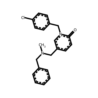 CN(Cc1ccccc1)Cc1ccc(=O)n(Cc2ccc(Cl)cc2)c1